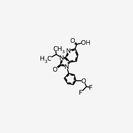 CC(C)n1c(=O)n(-c2cccc(OC(F)F)c2)c2ccc(C(=O)O)nc21